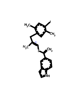 C=C(S/C=C(\C)Cc1cc(C)c(I)cc1C)c1ccc2[nH]ccc2c1